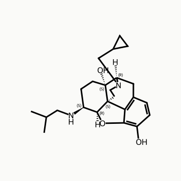 CC(C)CN[C@H]1CC[C@@]2(O)[C@H]3Cc4ccc(O)c5c4[C@@]2(CCN3CC2CC2)[C@H]1O5